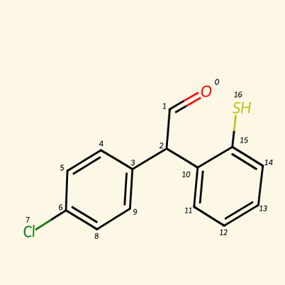 O=CC(c1ccc(Cl)cc1)c1ccccc1S